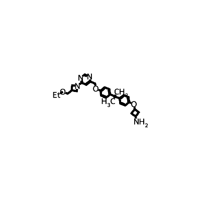 CCOCC1CN(c2cc(COc3ccc(C(C)(C)c4ccc(OC5CC(N)C5)cc4)cc3)ncn2)C1